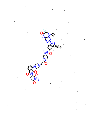 COc1cc(C(=O)NC2CCN(C(=O)CCN3CCN(c4cccc5c4C(=O)N(C4CCC(=O)NC4=O)C5=O)CC3)CC2)ccc1NC1=NC2C(C=N1)N(C)C(=O)C(F)(F)CN2C1CCC1